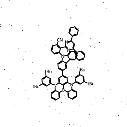 CC(C)(C)c1cc(N2c3ccccc3B3c4ccccc4N(c4cc(C(C)(C)C)cc(C(C)(C)C)c4)c4cc(-c5ccc6c(c5)c5ccccc5n6-c5cccc(C#N)c5-c5nc(-c6ccccc6)cc(-c6ccccc6)n5)cc2c43)cc(C(C)(C)C)c1